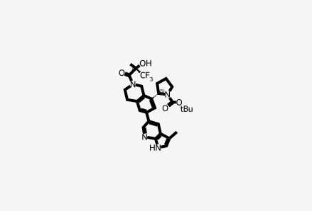 Cc1c[nH]c2ncc(-c3cc4c(c([C@@H]5CCCN5C(=O)OC(C)(C)C)c3)CN(C(=O)[C@](C)(O)C(F)(F)F)CC4)cc12